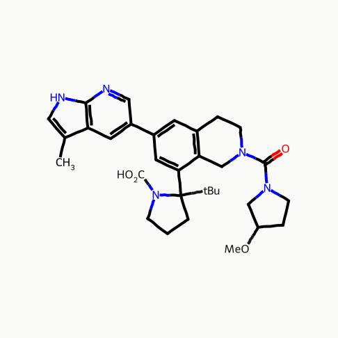 COC1CCN(C(=O)N2CCc3cc(-c4cnc5[nH]cc(C)c5c4)cc(C4(C(C)(C)C)CCCN4C(=O)O)c3C2)C1